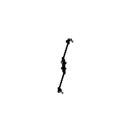 C=CC(=O)OCCCCCCCCCCCCCCCCOc1ccc(C(=O)Oc2ccc(OC(=O)c3ccc(OCCCCCCCCCCCCCCCCOC(=O)C=C)cc3F)cc2)c(F)c1